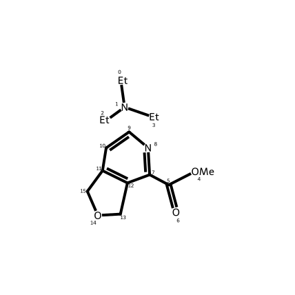 CCN(CC)CC.COC(=O)c1nccc2c1COC2